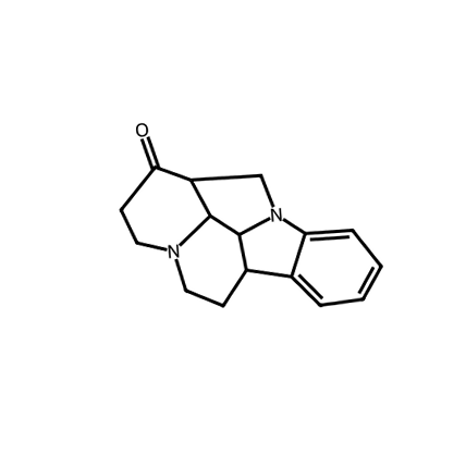 O=C1CCN2CCC3c4ccccc4N4CC1C2C34